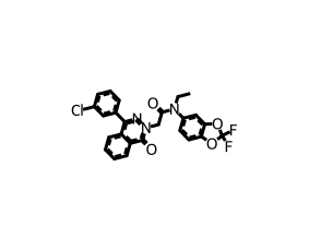 CCN(C(=O)Cn1nc(-c2cccc(Cl)c2)c2ccccc2c1=O)c1ccc2c(c1)OC(F)(F)O2